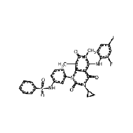 Cc1c(=O)n(C)c(Nc2ccc(I)cc2F)c2c(=O)n(C3CC3)c(=O)n(-c3cccc(NS(=O)(=O)c4ccccc4)c3)c12